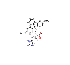 COc1ccc(C(CC[C@@H]2C(=O)OC[C@@H]2Cc2cncn2C)(c2ccccc2)c2ccc(OC)cc2)cc1